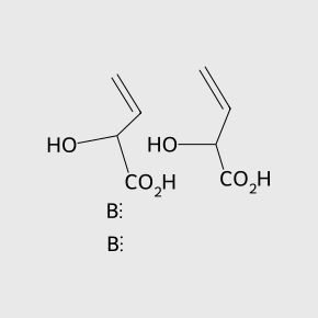 C=CC(O)C(=O)O.C=CC(O)C(=O)O.[B].[B]